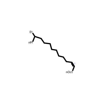 [CH2]CC(CCC)CCCCCCCC/C=C\CCCCCCCC